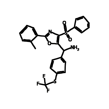 Cc1ccccc1-c1nc(S(=O)(=O)c2ccccc2)c(C(N)c2ccc(SC(F)(F)F)cc2)o1